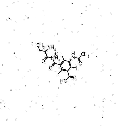 CCC(N)C(=O)N(C)C(=O)c1c(I)c(NC(C)=O)c(I)c(C(=O)O)c1I